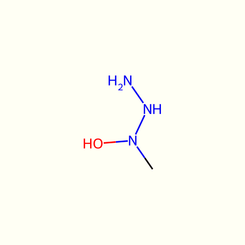 CN(O)NN